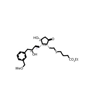 [CH2]COC(=O)CCCSCC[C@H]1C(=O)C[C@@H](O)[C@H]1/C=C/[C@@H](O)Cc1cccc(COC)c1